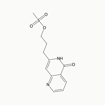 CS(=O)(=O)OCCCc1cc2ncccc2c(=O)[nH]1